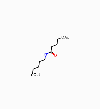 CCCCCCCCCCCCNC(=O)CCCOC(C)=O